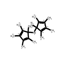 CC1=C(C)[C](C)([Nb][C]2(C)C(C)=C(C)C(C)=C2C)C(C)=C1C